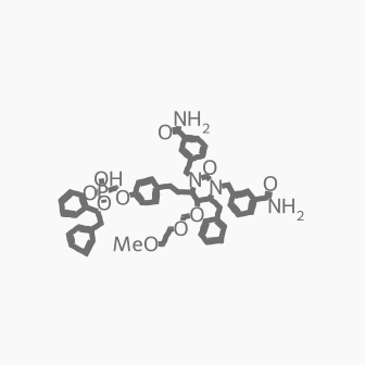 COCCOCOC1C(CCc2ccc(OCP(=O)(O)OC(Cc3ccccc3)c3ccccc3)cc2)N(Cc2cccc(C(N)=O)c2)C(=O)N(Cc2cccc(C(N)=O)c2)C1Cc1ccccc1